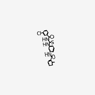 Cc1ccccc1C(=O)Nc1cccc(NC(=S)NC(=O)c2cccc(Cl)c2)c1